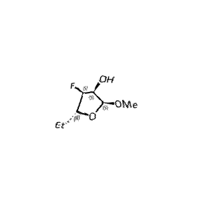 CC[C@H]1O[C@H](OC)[C@H](O)[C@@H]1F